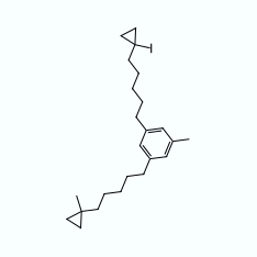 Cc1cc(CCCCCC2(C)CC2)cc(CCCCCC2(I)CC2)c1